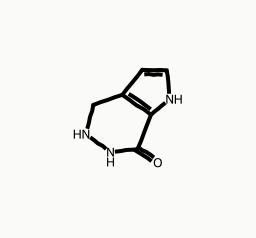 O=C1NNCc2cc[nH]c21